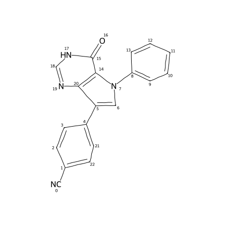 N#Cc1ccc(-c2cn(-c3ccccc3)c3c(=O)[nH]cnc23)cc1